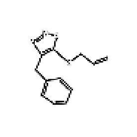 C=CCSc1snnc1Cc1ccccc1